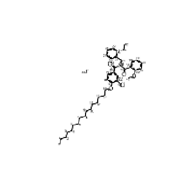 CCCCCCCCCCCCCCCCOc1ccc(C(=O)N(Cc2cccc[n+]2CC)C(=O)c2ccccc2OC)cc1Cl.[I-]